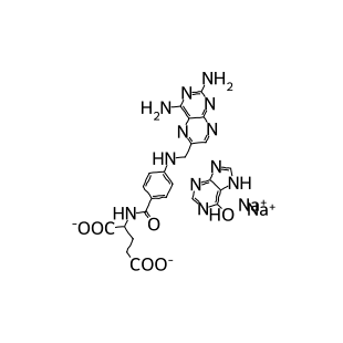 Nc1nc(N)c2nc(CNc3ccc(C(=O)NC(CCC(=O)[O-])C(=O)[O-])cc3)cnc2n1.Oc1ncnc2nc[nH]c12.[Na+].[Na+]